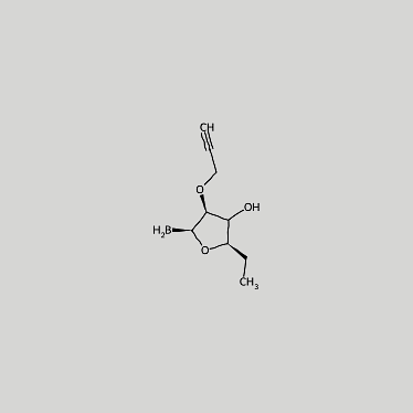 B[C@@H]1O[C@H](CC)C(O)[C@@H]1OCC#C